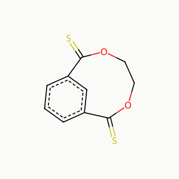 S=C1OCCOC(=S)c2cccc1c2